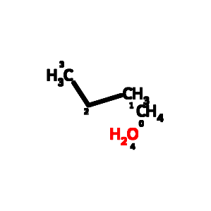 C.CCC.O